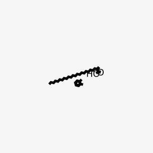 C=C(CCCCCCCCCCCCCCCCCCCCCC)C(=O)O.Cc1ccccc1C